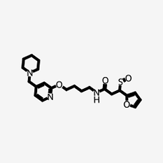 O=[S+]C(CC(=O)NCCCCOc1cc(CN2CCCCC2)ccn1)c1ccco1